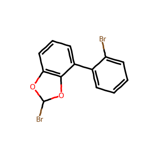 Brc1ccccc1-c1cccc2c1OC(Br)O2